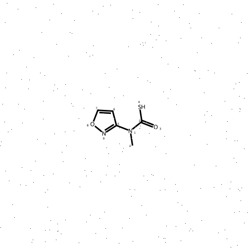 CN(C(=O)S)c1ccon1